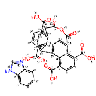 O=C(O)c1ccc(C(=O)O)c2c3ccc(c(=O)oc(=O)c4ccc3c3c(C(=O)O)ccc(C(=O)O)c43)c12.c1ccc2[nH]cnc2c1